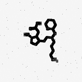 CCCCCC(CCC1CC[C@@H](O)C1CC(=O)O)OC1CCCCO1